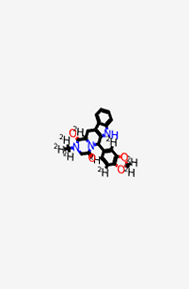 [2H]c1c([2H])c(C2c3[nH]c4ccccc4c3C[C@]3([2H])C(=O)N(C([2H])([2H])[2H])CC(=O)N23)c([2H])c2c1OC([2H])([2H])O2